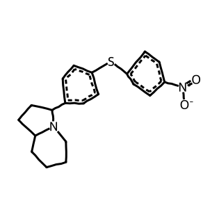 O=[N+]([O-])c1ccc(Sc2ccc(C3CCC4CCCCN43)cc2)cc1